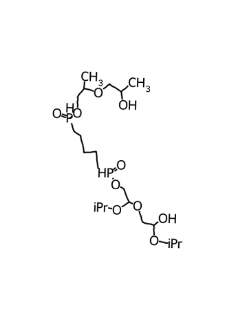 CC(O)COC(C)CO[PH](=O)CCCCC[PH](=O)OCC(OCC(O)OC(C)C)OC(C)C